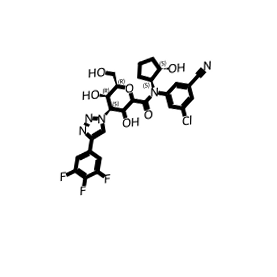 N#Cc1cc(Cl)cc(N(C(=O)C2O[C@H](CO)[C@H](O)[C@H](n3cc(-c4cc(F)c(F)c(F)c4)nn3)C2O)[C@H]2CCC[C@@H]2O)c1